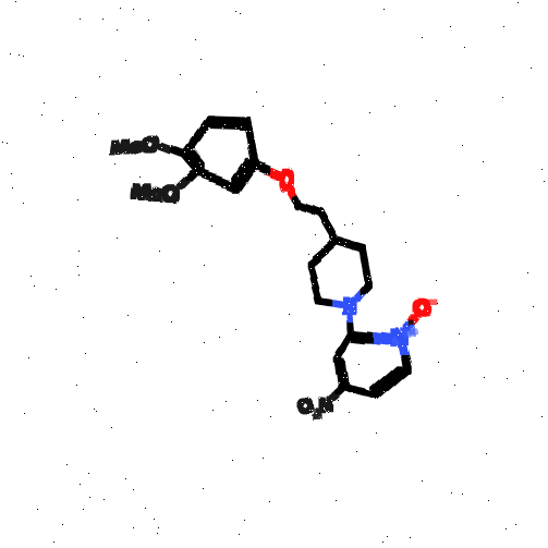 COc1ccc(OCCC2CCN(c3cc([N+](=O)[O-])cc[n+]3[O-])CC2)cc1OC